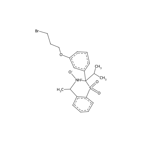 CC1c2ccccc2S(=O)(=O)C(c2cccc(OCCCBr)c2)(C(C)C)[NH+]1[O-]